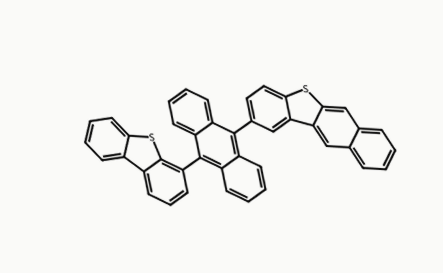 c1ccc2cc3c(cc2c1)sc1ccc(-c2c4ccccc4c(-c4cccc5c4sc4ccccc45)c4ccccc24)cc13